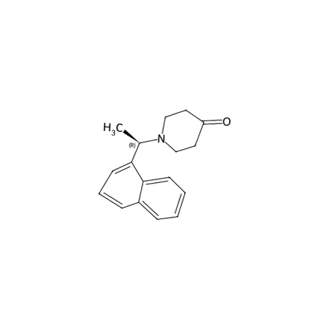 C[C@H](c1cccc2ccccc12)N1CCC(=O)CC1